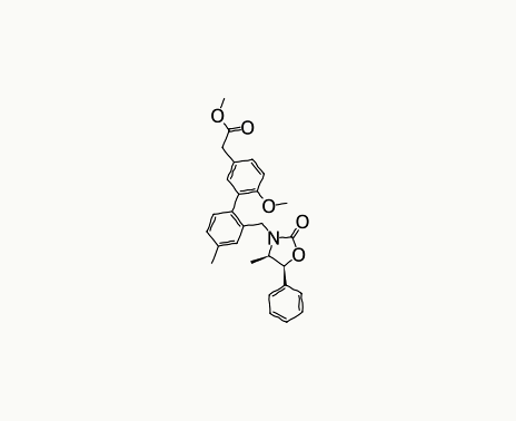 COC(=O)Cc1ccc(OC)c(-c2ccc(C)cc2CN2C(=O)O[C@@H](c3ccccc3)[C@H]2C)c1